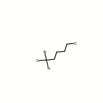 ClCCCCC(Cl)(Br)Br